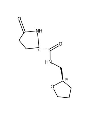 O=C1CC[C@@H](C(=O)NC[C@H]2CCCO2)N1